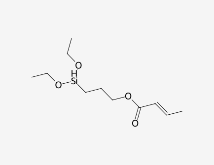 CC=CC(=O)OCCC[SiH](OCC)OCC